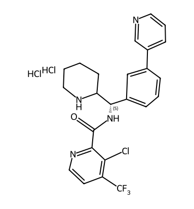 Cl.Cl.O=C(N[C@@H](c1cccc(-c2cccnc2)c1)C1CCCCN1)c1nccc(C(F)(F)F)c1Cl